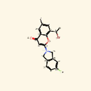 Cc1cc(C(C)Br)c2oc(N3Cc4ccc(F)cc4C3)cc(=O)c2c1